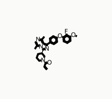 C=CC(=O)N1CCC[C@@H](c2nc(-c3ccc(Oc4cccc(OC)c4F)cc3)c3c(C)ncc(C)n23)C1